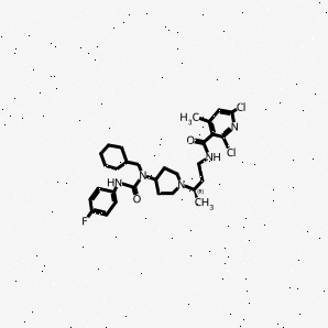 Cc1cc(Cl)nc(Cl)c1C(=O)NCC[C@@H](C)N1CCC(N(CC2CCCCC2)C(=O)Nc2ccc(F)cc2)CC1